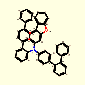 c1ccc(-c2ccc(-c3ccccc3N(c3ccc(-c4ccccc4-c4ccccc4)cc3)c3ccc4c(c3)oc3ccccc34)cc2)cc1